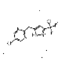 FC(F)(Cl)c1cc(Cc2ncc(Cl)cn2)[nH]n1